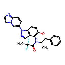 C[C@H](NC(=O)C(C)(F)F)[C@H](Oc1ccc2c(cnn2-c2ccc3nccn3c2)c1)c1ccccc1